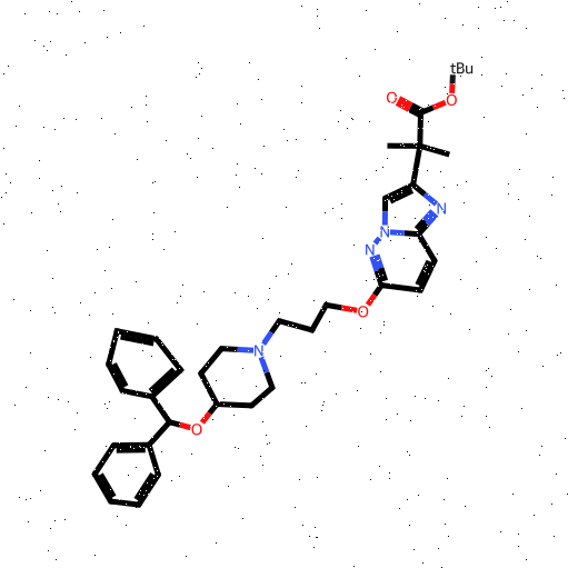 CC(C)(C)OC(=O)C(C)(C)c1cn2nc(OCCCN3CCC(OC(c4ccccc4)c4ccccc4)CC3)ccc2n1